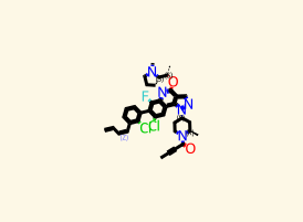 C=C/C=C\c1cccc(-c2c(Cl)cc3c(nc(O[C@@H](C)[C@@H]4CCCN4C)c4cnn([C@H]5CCN(C(=O)C#CC)[C@H](C)C5)c43)c2F)c1Cl